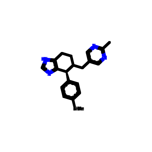 CC(=O)Nc1ccc([C@H]2c3nc[nH]c3CCC2Cc2cnc(C)nc2)cc1